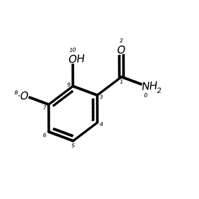 NC(=O)c1cccc([O])c1O